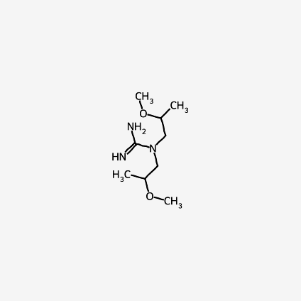 COC(C)CN(CC(C)OC)C(=N)N